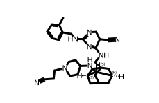 Cc1ccccc1CNC1=NCC(C#N)C(NC[C@]23CC4C[C@H](C2)[C@@H](NC2CCN(CCC#N)CC2)[C@@H](C4)C3)=N1